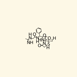 CC(=N)NCC(=O)NC(C(=O)N[C@@]1(C(=O)O)N2C(=O)C[C@H]2SC1(C)C)c1ccccc1